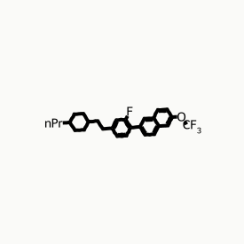 CCCC1CCC(CCc2ccc(-c3ccc4cc(OC(F)(F)F)ccc4c3)c(F)c2)CC1